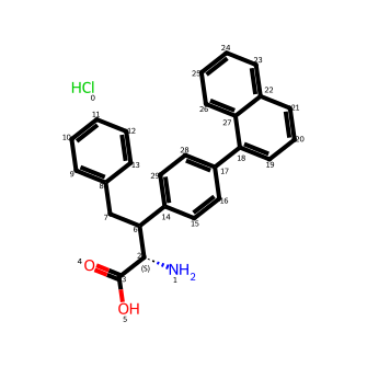 Cl.N[C@H](C(=O)O)C(Cc1ccccc1)c1ccc(-c2cccc3ccccc23)cc1